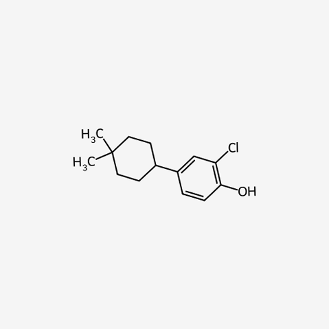 CC1(C)CCC(c2ccc(O)c(Cl)c2)CC1